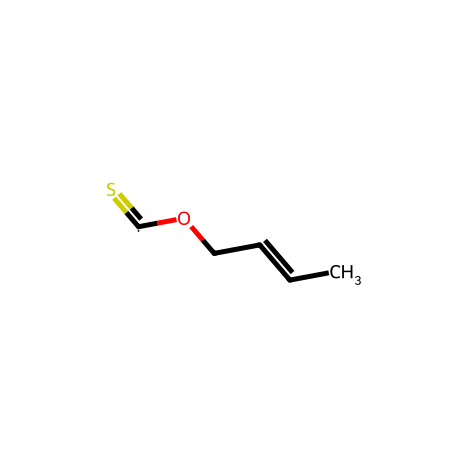 CC=CCO[C]=S